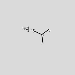 CC(C)[S].Cl